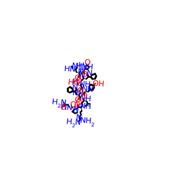 CC(C)C[C@H](NC(=O)[C@@H](Cc1c[nH]c2ccccc12)NC(=O)[C@H](Cc1ccc(O)cc1)NC(=O)[C@H](CO)NC(=O)[C@H](Cc1c[nH]c2ccccc12)NC(=O)[C@H](Cc1cnc[nH]1)NC(=O)[C@@H]1CCC(=O)N1)C(=O)N[C@@H](CCCN=C(N)N)C(=O)N1CCC[C@@H]1C(=O)NCC(N)=O